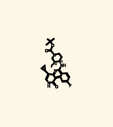 CC(C)(C)OC(=O)N1CC[C@H](Nc2nc3c(C4CC4)c[nH]c(=O)c3c3cc(F)ccc23)[C@@H](F)C1